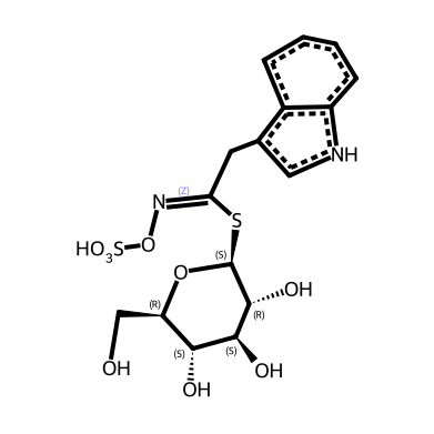 O=S(=O)(O)O/N=C(/Cc1c[nH]c2ccccc12)S[C@@H]1O[C@H](CO)[C@@H](O)[C@H](O)[C@H]1O